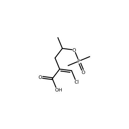 CC(CC(=CCl)C(=O)O)OP(C)(C)=O